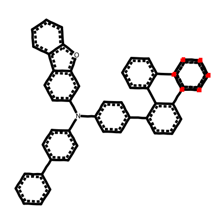 c1ccc(-c2ccc(N(c3ccc(-c4cccc(-c5ccccc5)c4-c4ccccc4-c4ccccc4)cc3)c3ccc4c(c3)oc3ccccc34)cc2)cc1